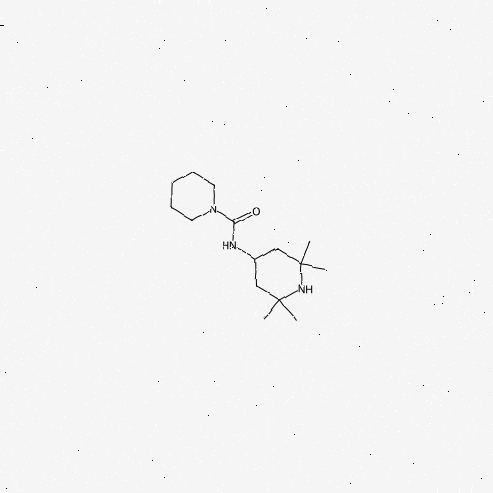 CC1(C)CC(NC(=O)N2CCCCC2)CC(C)(C)N1